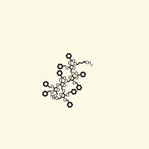 C=CCCCOC1OC(COC2OC(COC3OC(COC4OC(CO)C(OCc5ccccc5)C4OCc4ccccc4)C(OC4OC(CO)C(OCc5ccccc5)C4OCc4ccccc4)C3OC(=O)c3ccccc3)C(OCc3ccccc3)C2OC(=O)c2ccccc2)C(OCc2ccccc2)C1OC(=O)c1ccccc1